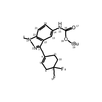 Cn1nc(C2=CCC(F)(F)CC2)c2cc(NC(=O)OC(C)(C)C)ccc21